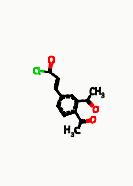 CC(=O)c1ccc(/C=C/C(=O)Cl)cc1C(C)=O